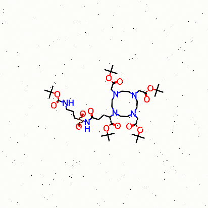 CC(C)(C)OC(=O)CN1CCN(CC(=O)OC(C)(C)C)CCN(C(CCC(=O)NS(=O)(=O)CCCNC(=O)OC(C)(C)C)C(=O)OC(C)(C)C)CCN(CC(=O)OC(C)(C)C)CC1